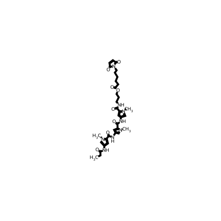 CCC(=O)Nc1cc(C(=O)Nc2cc(C(=O)Nc3cc(C(=O)NCCCOC(=O)CCCCCN4C(=O)C=CC4=O)n(C)c3)n(C)c2)n(C)c1